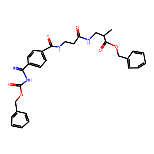 CC(CNC(=O)CCNC(=O)c1ccc(C(=N)NC(=O)OCc2ccccc2)cc1)C(=O)OCc1ccccc1